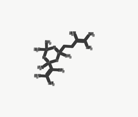 C[Si]1(N)O[Si]([SiH3])(CCC(N)=C(N)N)O[Si](N)(C(N)=C(N)N)O1